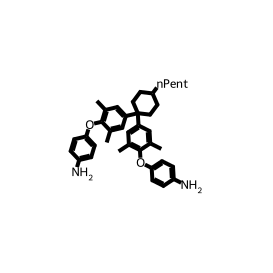 CCCCCC1CCC(c2cc(C)c(Oc3ccc(N)cc3)c(C)c2)(c2cc(C)c(Oc3ccc(N)cc3)c(C)c2)CC1